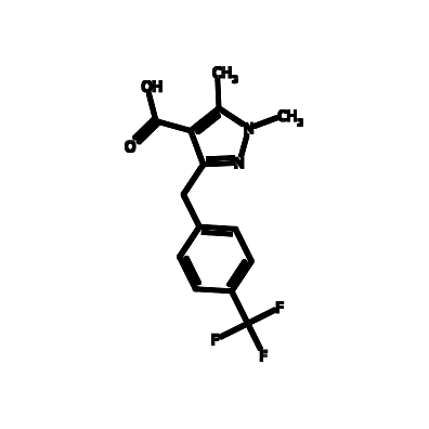 Cc1c(C(=O)O)c(Cc2ccc(C(F)(F)F)cc2)nn1C